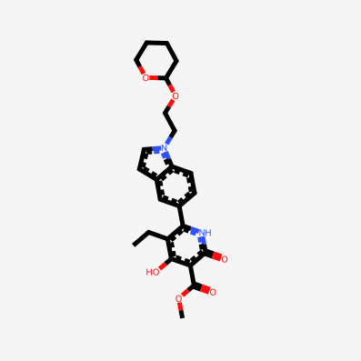 CCc1c(-c2ccc3c(ccn3CCOC3CCCCO3)c2)[nH]c(=O)c(C(=O)OC)c1O